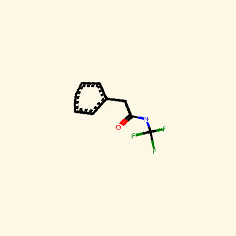 O=C(Cc1ccccc1)[N]C(F)(F)F